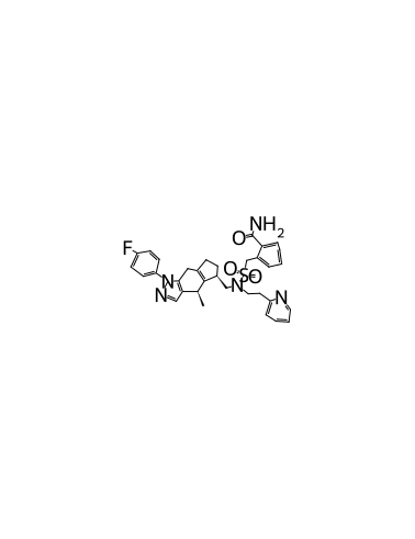 C[C@@H]1C2=C(CC[C@H]2CN(CCc2ccccn2)S(=O)(=O)Cc2ccccc2C(N)=O)Cc2c1cnn2-c1ccc(F)cc1